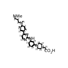 CNCCCN(C)c1ccc(-c2ccnc(Nc3cccc(N4CCN(CC(=O)O)CC4)c3)n2)cn1